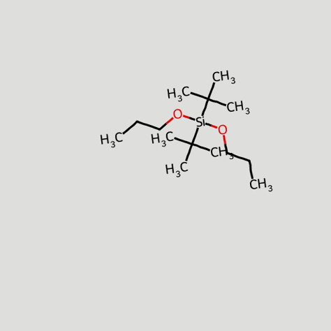 CCCO[Si](OCCC)(C(C)(C)C)C(C)(C)C